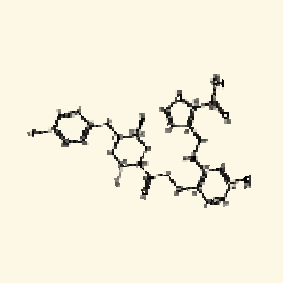 C[C@@H]1CN(Cc2ccc(F)cc2)[C@@H](C)CN1C(=O)COc1ccc(Cl)cc1OCc1ccoc1C(=O)O